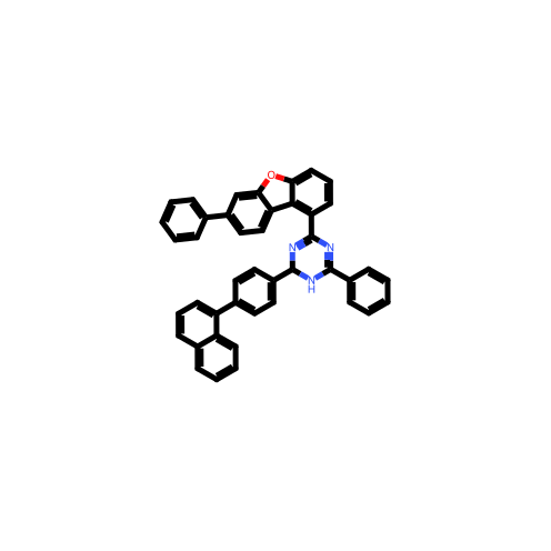 c1ccc(C2=NC(c3cccc4oc5cc(-c6ccccc6)ccc5c34)=NC(c3ccc(-c4cccc5ccccc45)cc3)N2)cc1